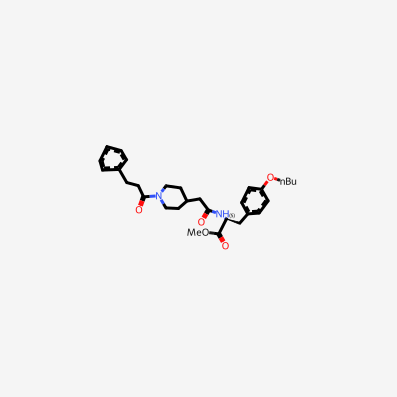 CCCCOc1ccc(C[C@H](NC(=O)CC2CCN(C(=O)CCc3ccccc3)CC2)C(=O)OC)cc1